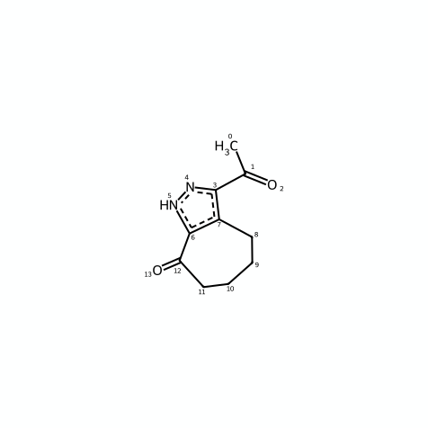 CC(=O)c1n[nH]c2c1CCCCC2=O